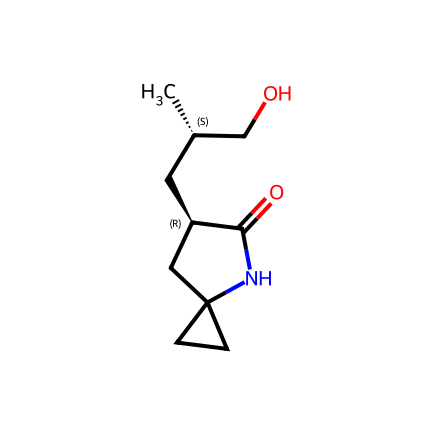 C[C@H](CO)C[C@@H]1CC2(CC2)NC1=O